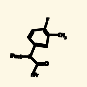 CCCC(=O)N(c1ccc(F)c(C)c1)C(C)CCC